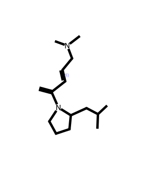 C=C(/C=C/CN(C)C)N1CCCC1CC(C)C